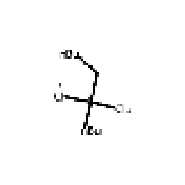 CCCCCC(Cl)(Cl)CCCC